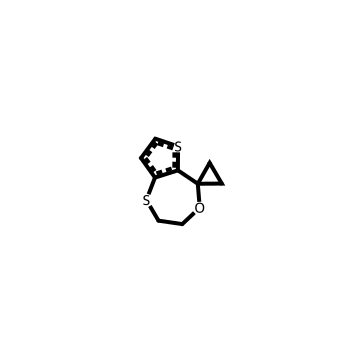 c1cc2c(s1)C1(CC1)OCCS2